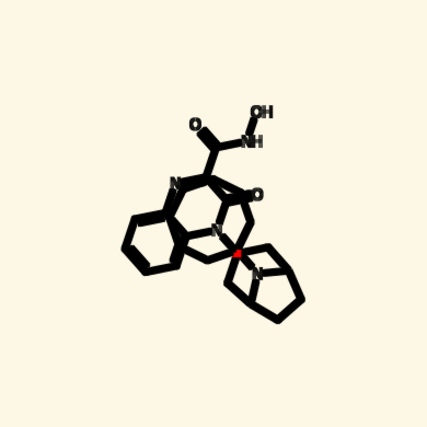 O=C(NO)c1nc2ccccc2n(C2CC3CCC(C2)N3C2CCCCCCC2)c1=O